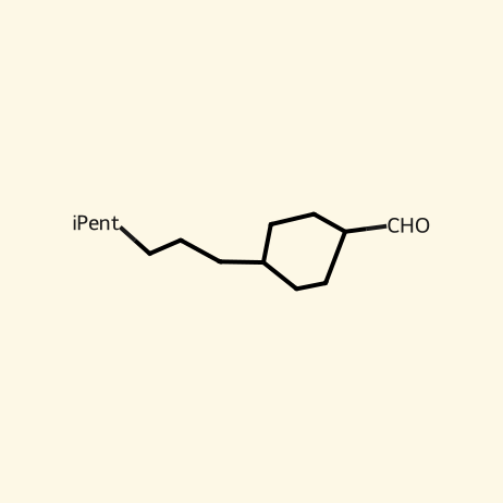 CCCC(C)CCCC1CCC(C=O)CC1